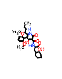 CCCCc1[nH]c(=O)c(C(=O)NC(CC2CCCCC2)C(=O)O)c(O)c1-c1c(OC)cccc1OC